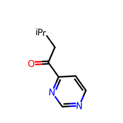 CC(C)CC(=O)c1ccncn1